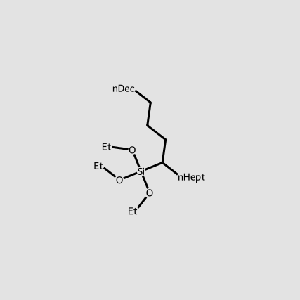 CCCCCCCCCCCCCC(CCCCCCC)[Si](OCC)(OCC)OCC